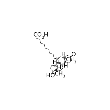 C[C@]12CCC(=O)C[C@@H]1C[C@H](CCCCCCCCCC(=O)O)[C@@H]1[C@@H]2CC[C@]2(C)[C@@H](O)CC[C@@H]12